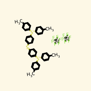 Cc1ccc([S+](c2ccc(C)cc2)c2ccc(Sc3ccc([S+](c4ccc(C)cc4)c4ccc(C)cc4)cc3)cc2)cc1.[F][Sb-]([F])([F])([F])([F])[F].[F][Sb-]([F])([F])([F])([F])[F]